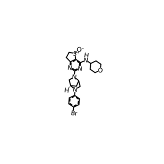 [O-][S+]1CCc2nc(N3C[C@H]4CC3CN4c3ccc(Br)cc3)nc(NC3CCOCC3)c21